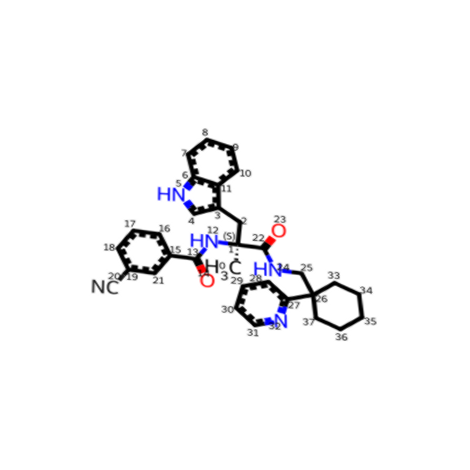 C[C@@](Cc1c[nH]c2ccccc12)(NC(=O)c1cccc(C#N)c1)C(=O)NCC1(c2ccccn2)CCCCC1